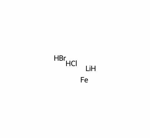 Br.Cl.[Fe].[LiH]